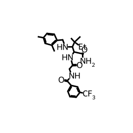 CCC(C)(C)C(NCc1ccc(C)cc1C)C(NC(=O)CNC(=O)c1cccc(C(F)(F)F)c1)C(N)=O